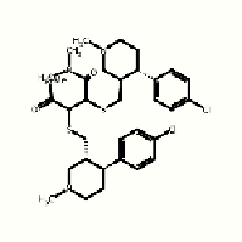 COC(=O)C(SC[C@H]1CN(C)CC[C@@H]1c1ccc(Cl)cc1)C(SC[C@H]1CN(C)CC[C@@H]1c1ccc(Cl)cc1)C(=O)N(C)C